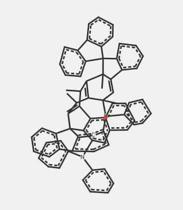 CC1C2=C3c4c(c(N(c5ccccc5)c5ccccc5)cc5ccccc45)C24c2ccccc2-c2ccc(cc24)N(c2ccccc2)C2(C)C=C4c5ccccc5C5(c6ccccc6-c6ccccc65)C4(C)C(=C12)C3C